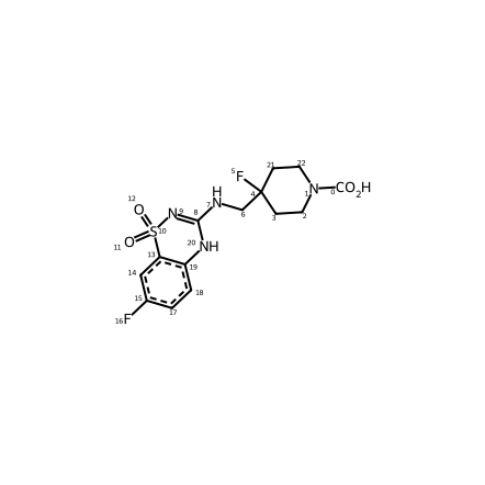 O=C(O)N1CCC(F)(CNC2=NS(=O)(=O)c3cc(F)ccc3N2)CC1